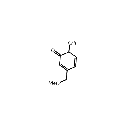 COCC1=CC(=O)C(C=O)C=C1